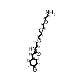 NCCOCCOCCOCCNC(=O)CC1CCC(=O)CC1